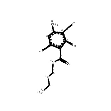 CCOCOC(=O)c1c(I)cc(C)c(I)c1I